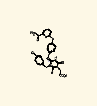 NC(=O)c1cccc(Oc2ccc(/N=c3\[nH]c(=O)n(CC(=O)O)c(=O)n3Cc3ccc(Cl)cc3)cc2)n1